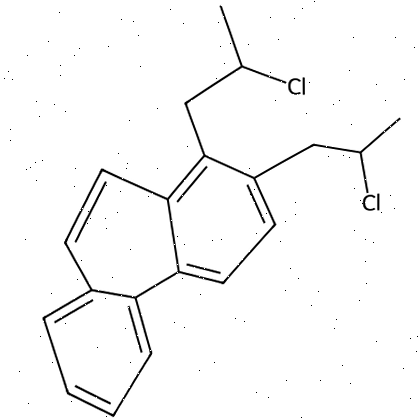 CC(Cl)Cc1ccc2c(ccc3ccccc32)c1CC(C)Cl